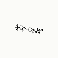 CS(=O)(=O)c1ccc(OC[C@H]2CC[C@H](N3CCN(C#N)[C@H]4C[C@H]43)CC2)c(F)c1